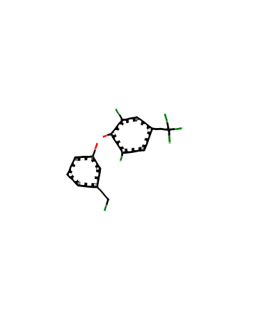 F[CH]c1cccc(Oc2c(F)cc(C(F)(F)F)cc2F)c1